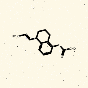 O=CC(=O)Oc1cccc2c1CCCC2/C=C/C(=O)O